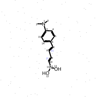 CN(C)c1ccc(/C=C/C=C/N(O)O)cc1